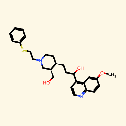 COc1ccc2nccc(C(O)CC[C@@H]3CCN(CCSc4ccccc4)C[C@@H]3CO)c2c1